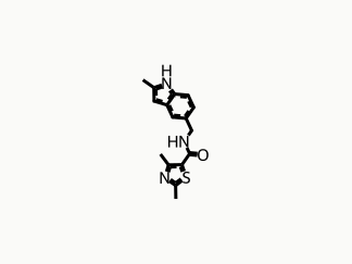 Cc1cc2cc(CNC(=O)c3sc(C)nc3C)ccc2[nH]1